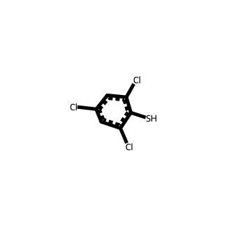 Sc1c(Cl)cc(Cl)cc1Cl